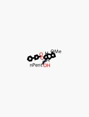 CCCCCC(O)/C=C/[C@@H]1[C@H]2Cc3cccc(OC)c3C[C@H]2C[C@H]1OC(=O)c1ccc(-c2ccccc2)cc1